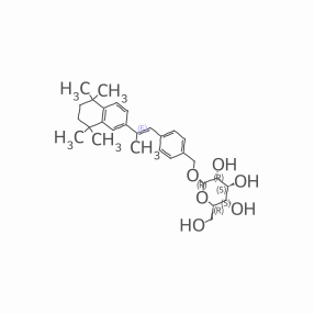 C/C(=C\c1ccc(CO[C@@H]2O[C@H](CO)[C@@H](O)[C@H](O)[C@H]2O)cc1)c1ccc2c(c1)C(C)(C)CCC2(C)C